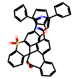 O=S1(=O)c2ccccc2C2(c3ccccc3-c3ccccc3-c3ccc(-c4cc(-c5ccccc5)nc(-c5ccccc5)n4)cc32)c2cc3oc4ccccc4c3cc21